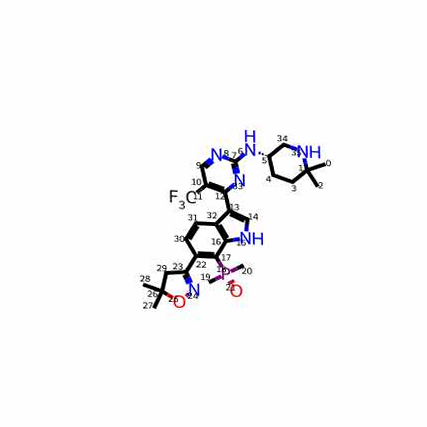 CC1(C)CC[C@H](Nc2ncc(C(F)(F)F)c(-c3c[nH]c4c(P(C)(C)=O)c(C5=NOC(C)(C)C5)ccc34)n2)CN1